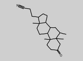 CC1CC2C3CCC(CCC#N)C3(C)CCC2C2(C)CCC(=O)CC12C